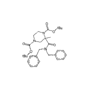 CC(C)(C)OC(=O)N1CCN(C(=O)OC(C)(C)C)C(C)(C(=O)N(Cc2ccccc2)Cc2ccccc2)C1